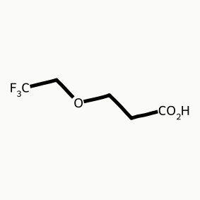 O=C(O)CCOCC(F)(F)F